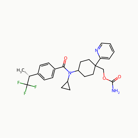 C[C@H](c1ccc(C(=O)N(C2CC2)C2CCC(COC(N)=O)(c3ccccn3)CC2)cc1)C(F)(F)F